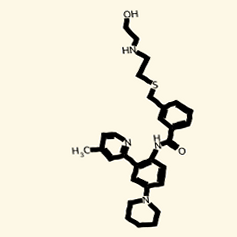 Cc1ccnc(-c2cc(N3CCCCC3)ccc2NC(=O)c2cccc(CSCCNCCO)c2)c1